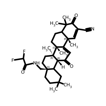 CC1(C)CC[C@]2(CNC(=O)C(F)F)CC[C@]3(C)[C@H](C(=O)C=C4[C@@]5(C)C=C(C#N)C(=O)C(C)(C)C5CC[C@]43C)C2C1